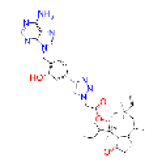 C=C[C@@]1(C)CC(C)C2CCC(=O)C2[C@@](C)(C(C)CC)C(OC(=O)Cn2cc(-c3ccc(Cn4cnc5c(N)ncnc54)c(O)c3)nn2)C1